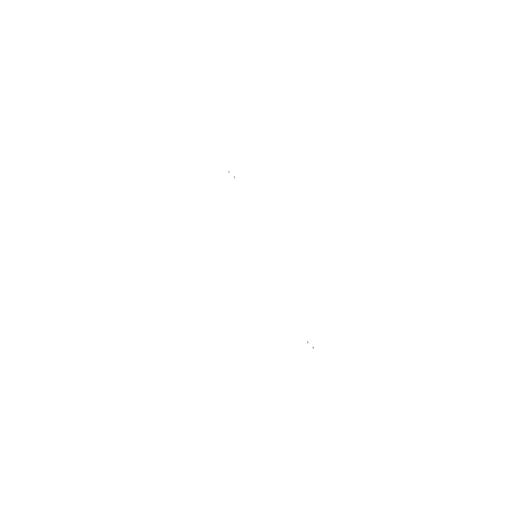 CN1CCC(Oc2ccccc2[N+](=O)[O-])C(c2ccccc2)C1